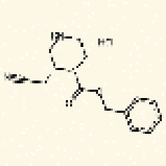 Cl.N#CC[C@@H]1CNCCN1C(=O)OCc1ccccc1